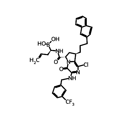 C=CC[C@H](NC(=O)[C@@H]1C[C@@H](CCCc2ccc3ccccc3c2)c2c(Cl)nc(NCc3cccc(C(F)(F)F)c3)c(=O)n21)B(O)O